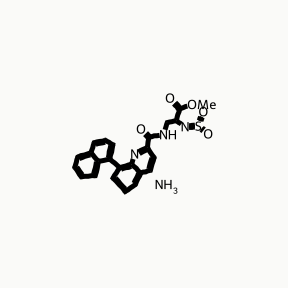 COC(=O)C(CNC(=O)c1ccc2cccc(-c3cccc4ccccc34)c2n1)N=S(=O)=O.N